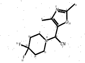 Cc1nc(C)c(C(C#N)N2CCC(F)(F)CC2)o1